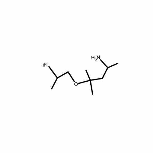 CC(N)CC(C)(C)OCC(C)C(C)C